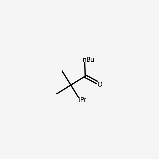 CCCCC(=O)C(C)(C)C(C)C